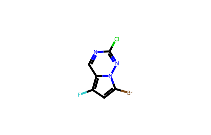 Fc1cc(Br)n2nc(Cl)ncc12